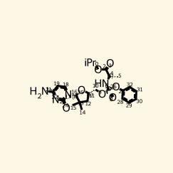 CC(C)OC(=O)[C@H](C)NP(=O)(OC[C@@H]1CC(C)(C)[C@H](n2ccc(N)nc2=O)O1)Oc1ccccc1